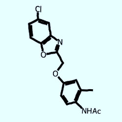 CC(=O)Nc1ccc(OCc2nc3cc(Cl)ccc3o2)cc1C